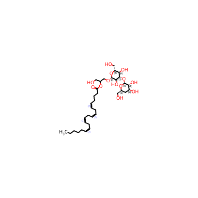 CCCCC/C=C\C/C=C\C/C=C\C/C=C\CCCC(=O)OC(CO)CO[C@@H]1O[C@H](CO)[C@@H](O)[C@H](O[C@@H]2O[C@H](CO)C[C@H](O)[C@H]2O)[C@H]1O